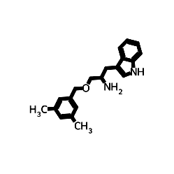 Cc1cc(C)cc(COCC(N)Cc2c[nH]c3ccccc23)c1